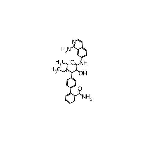 CCN(CC)C(c1ccc(-c2ccccc2C(N)=O)cc1)C(O)C(=O)Nc1ccc2ccnc(N)c2c1